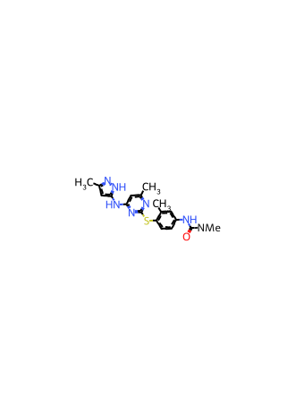 CNC(=O)Nc1ccc(Sc2nc(C)cc(Nc3cc(C)n[nH]3)n2)c(C)c1